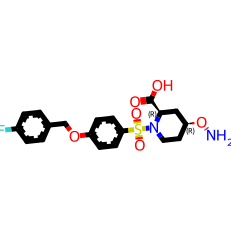 NO[C@@H]1CCN(S(=O)(=O)c2ccc(OCc3ccc(F)cc3)cc2)[C@@H](C(=O)O)C1